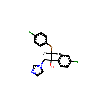 CC(C)(Sc1ccc(Cl)cc1)C(O)(Cn1ccnc1)c1ccc(Cl)cc1